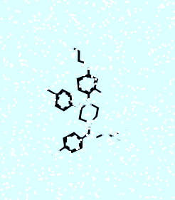 CC(C)(C)[Si](C)(C)OC[C@H](c1ccc(C#N)cc1)N1CCN(c2ccc(OCCO)cc2Cl)[C@H](c2ccc(Cl)cc2)C1